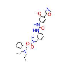 CCCN(CCC)CC(OC(=O)NCc1cccc(NC(=O)Nc2ccc(-c3cnco3)c(OC)c2)c1)c1ccccc1